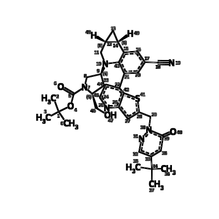 CC(C)(C)OC(=O)N1C[C@@H](N2C[C@@H]3C[C@@H]3c3cc(C#N)cc(-c4ccnc5cc(Cn6ncc(C(C)(C)C)cc6=O)sc45)c32)C[C@H]1CO